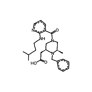 CC(C)CCNc1ncccc1C(=O)N1C[C@H](CC(=O)O)N(Cc2ccccc2)[C@H](C)C1